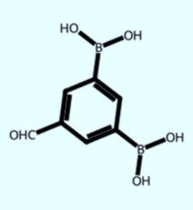 O=Cc1cc(B(O)O)cc(B(O)O)c1